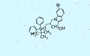 CC(CO[Si](c1ccccc1)(c1ccccc1)C(C)(C)C)Cn1c(CO)cc2ccc(Br)cc21